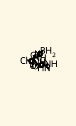 Bc1ccc(NC(=O)c2cc(Cl)cc(OC)c2NC(=O)c2ccc(C(=N)NC)cc2)nc1